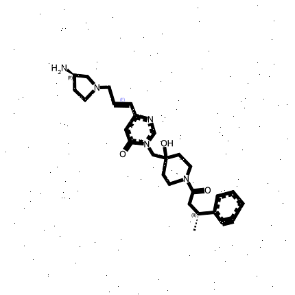 C[C@H](CC(=O)N1CCC(O)(Cn2cnc(/C=C/CN3CC[C@@H](N)C3)cc2=O)CC1)c1c#cccc1